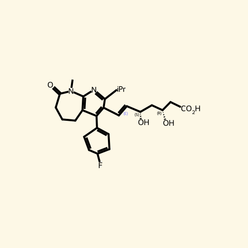 CC(C)c1nc2c(c(-c3ccc(F)cc3)c1/C=C/[C@@H](O)C[C@@H](O)CC(=O)O)CCCC(=O)N2C